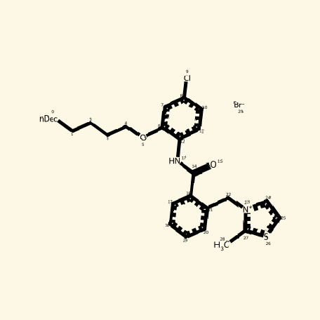 CCCCCCCCCCCCCCOc1cc(Cl)ccc1NC(=O)c1ccccc1C[n+]1ccsc1C.[Br-]